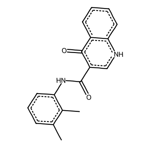 Cc1cccc(NC(=O)c2c[nH]c3ccccc3c2=O)c1C